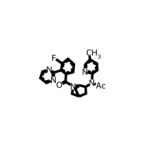 CC(=O)N(c1ccc(C)cn1)C1CC2CC1N(C(=O)c1cccc(F)c1-c1ncccn1)C2